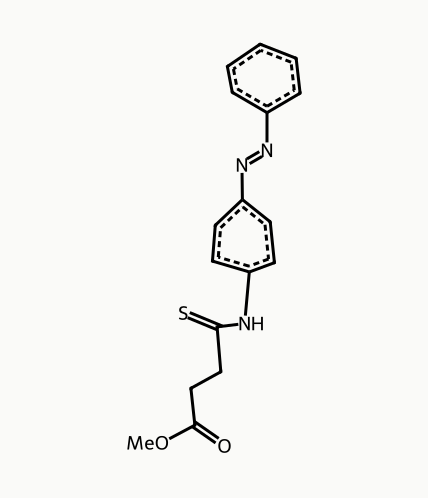 COC(=O)CCC(=S)Nc1ccc(N=Nc2ccccc2)cc1